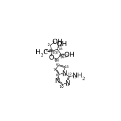 C[C@]1(CO)O[C@@H](c2cc3ncnc(N)n3c2)[C@H](O)[C@@H]1O